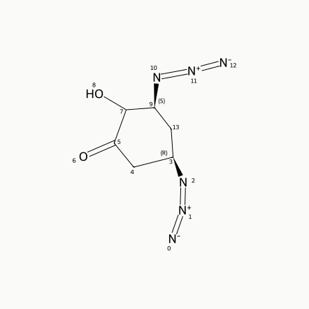 [N-]=[N+]=N[C@H]1CC(=O)C(O)[C@@H](N=[N+]=[N-])C1